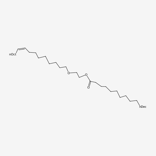 CCCCCCCC/C=C\CCCCCCCCOCCOC(=O)CCCCCCCCCCCCCCCCCCC